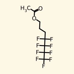 CC(=O)OCCCC(F)(F)C(F)(F)C(F)(F)C(F)(F)F